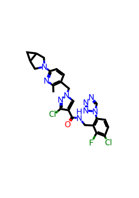 Cc1nc(N2CC3CC3C2)ccc1Cn1cc(C(=O)NCc2c(-n3cnnn3)ccc(Cl)c2F)c(Cl)n1